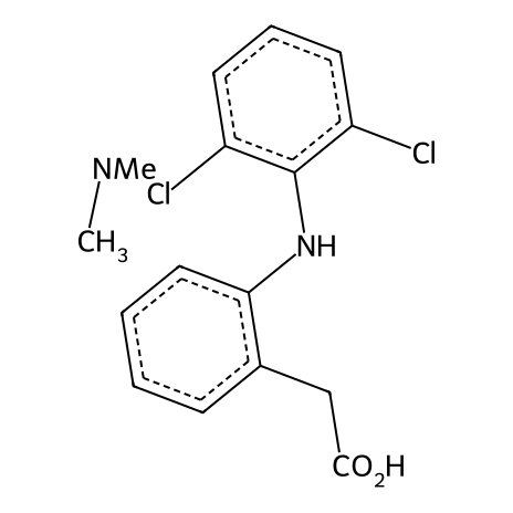 CNC.O=C(O)Cc1ccccc1Nc1c(Cl)cccc1Cl